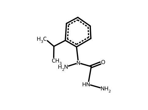 CC(C)c1ccccc1N(N)C(=O)NN